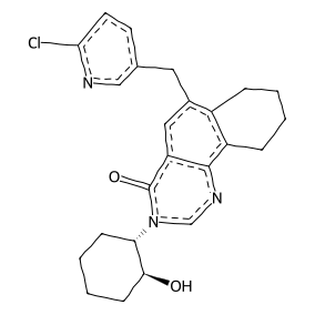 O=c1c2cc(Cc3ccc(Cl)nc3)c3c(c2ncn1[C@H]1CCCC[C@@H]1O)CCCC3